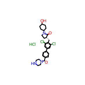 Cl.O=C(c1ccc(-c2cc(Cl)c(C[C@@H]3CCN(C4CCC(O)CC4)C3=O)c(Cl)c2)cc1)N1CCNCC1